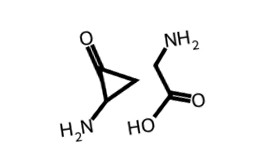 NC1CC1=O.NCC(=O)O